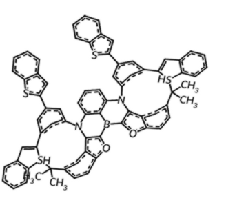 CC1(C)c2ccc3oc4c(c3c2)N(c2cc(cc(-c3cc5ccccc5s3)c2)C2=Cc3ccccc3[SH]21)c1cccc2c1B4c1oc3ccc4cc3c1N2c1cc(cc(-c2cc3ccccc3s2)c1)C1=Cc2ccccc2[SH]1C4(C)C